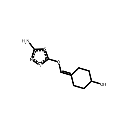 Nc1nnc(OC=C2CCC(O)CC2)s1